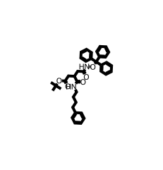 CC(C)(C)OC(=O)CC(CC(=O)NOC(c1ccccc1)(c1ccccc1)c1ccccc1)C(=O)NCCCCc1ccccc1